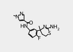 Cn1cc(C(=O)Nc2ccc(F)c(C3(C)CCSC(N)=N3)c2)cn1